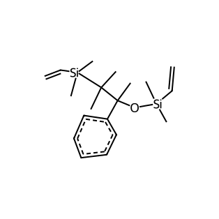 C=C[Si](C)(C)OC(C)(c1ccccc1)C(C)(C)[Si](C)(C)C=C